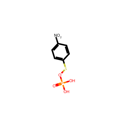 O=[N+]([O-])c1ccc(SOP(=O)(O)O)cc1